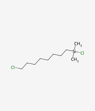 C[Si](C)(Cl)CCCCCCCCCl